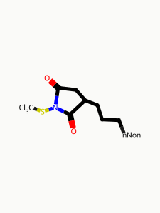 CCCCCCCCCCCCC1CC(=O)N(SC(Cl)(Cl)Cl)C1=O